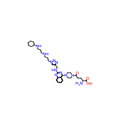 N[C@@H](CCC(=O)N1CCN(c2nc(NCc3cn(CCCNCCCNC4CCCCC4)nn3)nc3ccccc23)CC1)C(=O)O